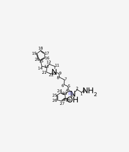 NCC/N=C(\CCCCCN1CCC(Cc2ccccc2)CC1)c1ccccc1O